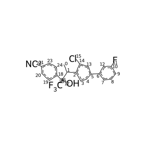 CC(c1ccc(-c2cccc(F)c2)cc1Cl)C(O)(c1ccc(C#N)cc1)C(F)(F)F